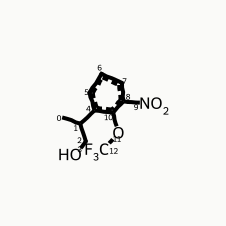 C[C](CO)c1cccc([N+](=O)[O-])c1OC(F)(F)F